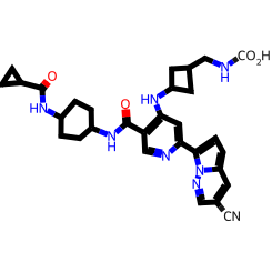 N#Cc1cnn2c(-c3cc(NC4CC(CNC(=O)O)C4)c(C(=O)NC4CCC(NC(=O)C5CC5)CC4)cn3)ccc2c1